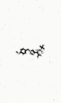 COc1ccc(Cn2cc(C(N[S@@+]([O-])C(C)(C)C)C(C)C)nn2)cc1